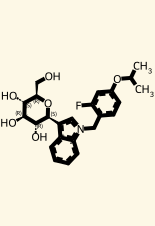 CC(C)Oc1ccc(Cn2cc([C@@H]3O[C@H](CO)[C@@H](O)[C@H](O)[C@H]3O)c3ccccc32)c(F)c1